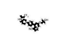 C=C(CC(F)(F)F)NC1(C)CCN(c2ccc(-c3cc(OCC(C)(C)O)cn4ncc(C#N)c34)cn2)CC1